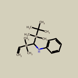 C=C[Si](C)(C)C(Nc1ccccc1)[Si](C)(C)C(C)(C)C